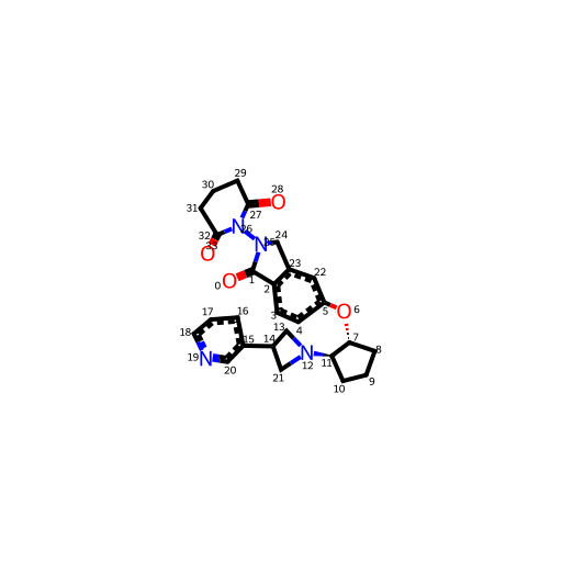 O=C1c2ccc(O[C@@H]3CCC[C@H]3N3CC(c4cccnc4)C3)cc2CN1N1C(=O)CCCC1=O